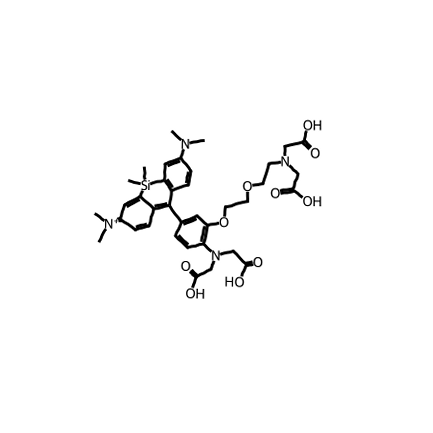 CN(C)c1ccc2c(c1)[Si](C)(C)C1=CC(=[N+](C)C)C=CC1=C2c1ccc(N(CC(=O)O)CC(=O)O)c(OCCOCCN(CC(=O)O)CC(=O)O)c1